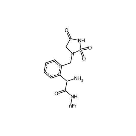 CCCNC(=O)C(N)c1ccccc1CN1CC(=O)NS1(=O)=O